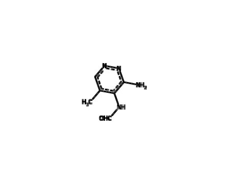 Cc1cnnc(N)c1NC=O